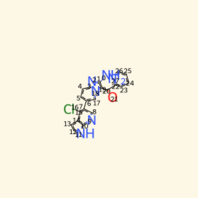 Nc1nc2ccc(-c3cnc4[nH]ccc4c3Cl)cn2c1C(=O)c1ccccn1